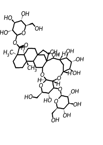 C=C1CC23CC[C@@H]4[C@](C)(C(=O)OC5O[C@H](CO)[C@@H](O)[C@H](O)[C@H]5O)CCC[C@@]4(C)C2CC2O[C@@H]4O[C@H](CO)[C@@H](O)C(O[C@@H]5O[C@H](CO)[C@@H](O)[C@H](O)[C@H]5O)[C@H]4O[C@@H]4C[C@H](C(O)C12C3)[C@@H](O)[C@H](O)[C@H]4O